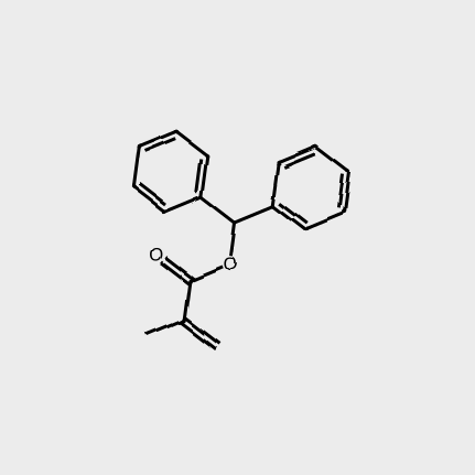 C=C(C)C(=O)OC(c1ccccc1)c1ccccc1